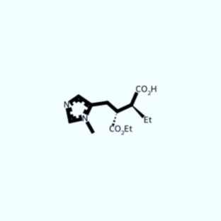 CCOC(=O)[C@H](Cc1cncn1C)[C@H](CC)C(=O)O